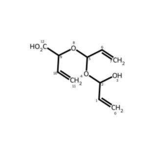 C=CC(O)OC(C=C)OC(C=C)C(=O)O